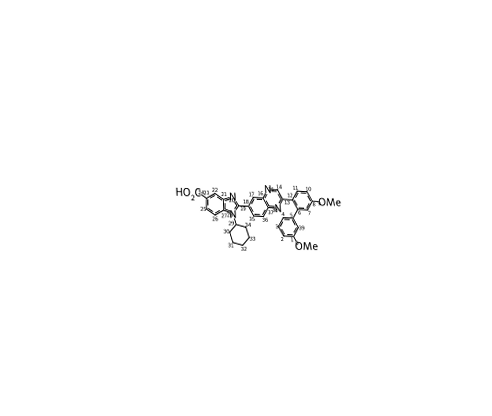 COc1cccc(-c2cc(OC)ccc2-c2cnc3cc(-c4nc5cc(C(=O)O)ccc5n4C4CCCCC4)ccc3n2)c1